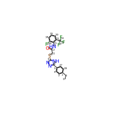 CCc1ccc(-c2nnc(SCC(=O)Nc3c(F)cccc3C(F)(F)F)[nH]2)cc1